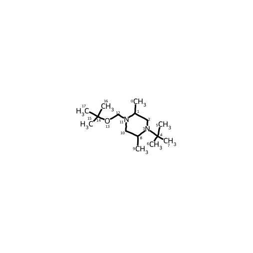 CC1CN(C(C)(C)C)C(C)CN1COC(C)(C)C